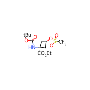 CCOC(=O)[C@]1(NC(=O)OC(C)(C)C)C[C@@H](OS(=O)(=O)C(F)(F)F)C1